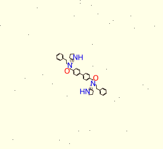 O=C(c1ccc(-c2ccc(C(=O)N(CCc3ccccc3)C[C@@H]3CCCN3)cc2)cc1)N(CCc1ccccc1)C[C@@H]1CCCN1